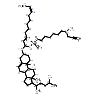 C#CCN(C)CCCCCCO[Si](C)(C)OC(CCCCCCC/C=C\CCCCCCCC)OC1CCC2(C)C(=CCC3C2CCC2(C)C(C(C)CCC(CC)C(C)C)CCC32)C1